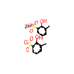 Cc1cccc(S(=O)(=O)[O-])c1O.Cc1cccc(S(=O)(=O)[O-])c1O.[Zn+2]